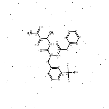 CC(NC(=O)[C@H](Cc1cccc(C(F)(F)F)c1)NC(=O)Cc1ccccc1)C(=O)C(N)=O